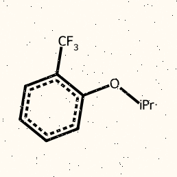 C[C](C)Oc1ccccc1C(F)(F)F